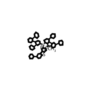 CC1(C)c2ccc(-c3ccccc3)cc2-c2c(-c3ccccc3)ccc(N(c3ccc(-c4ccccc4-c4ccccc4)c(-c4ccccc4)c3)c3ccc4sc5ccc(-c6ccccc6)cc5c4c3)c21